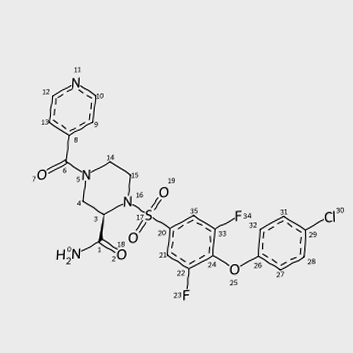 NC(=O)[C@H]1CN(C(=O)c2ccncc2)CCN1S(=O)(=O)c1cc(F)c(Oc2ccc(Cl)cc2)c(F)c1